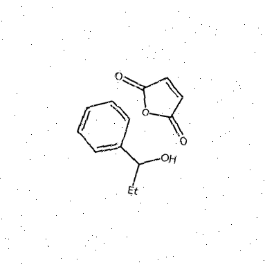 CCC(O)c1ccccc1.O=C1C=CC(=O)O1